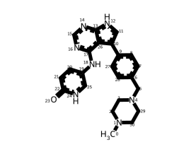 CN1CCN(Cc2ccc(-c3c[nH]c4ncnc(Nc5ccc(=O)[nH]c5)c34)cc2)CC1